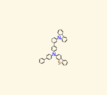 C1=CC2c3ccccc3N(C3=CCCC(c4ccc(N(c5ccc(-c6ccccc6)cc5)c5ccc6c(c5)sc5ccccc56)cc4)=C3)C2C=C1